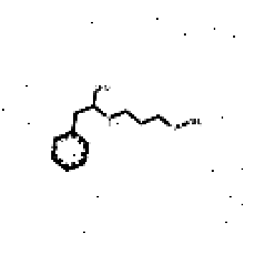 NOCCCN[C@H](C=O)Cc1ccccc1